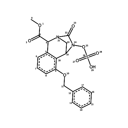 COC(=O)C1c2cccc(OCc3ccccc3)c2C2CN1C(=O)N2OS(=O)(=O)O